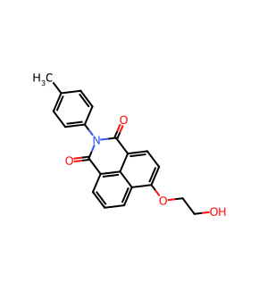 Cc1ccc(N2C(=O)c3cccc4c(OCCO)ccc(c34)C2=O)cc1